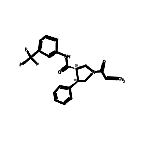 C=CC(=O)N1C[C@@H](C(=O)Nc2cccc(C(F)(F)F)c2)[C@H](c2ccccc2)C1